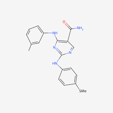 CSc1ccc(Nc2ncc(C(N)=O)c(Nc3cccc(C)c3)n2)cc1